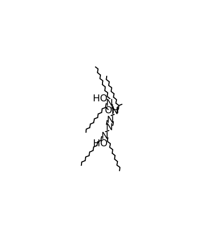 CCCCCCCCCCCCN(CCN1CCN(CCN(CCN(CC(O)CCCCCCCCCC)CC(O)CCCCCCCCCC)CC(C)CCCCCCCCCC)CC1)CC(O)CCCCCCCCCC